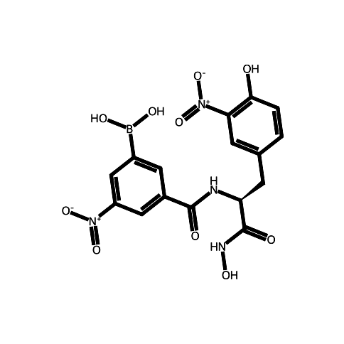 O=C(N[C@@H](Cc1ccc(O)c([N+](=O)[O-])c1)C(=O)NO)c1cc(B(O)O)cc([N+](=O)[O-])c1